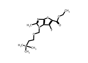 CCOC(=O)c1sc2nc(C)n(COCC[Si](C)(C)C)c2c1F